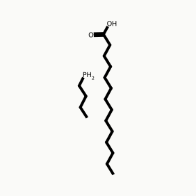 CCCCCCCCCCCCCC(=O)O.CCCCP